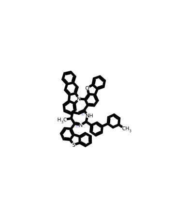 CC1C=CC=C(c2cccc(C3/N=C(/c4cccc5sc6ccccc6c45)C(C)C/C=C(\c4ccc5c(oc6ccccc65)c4-n4c5ccccc5c5cc6ccccc6cc54)N3)c2)C1